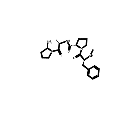 B[C@@H]1CCCN1C(=S)[C@H](C)NC(=O)[C@@H]1CCCN1C(=O)[C@H](Cc1ccccc1)NC